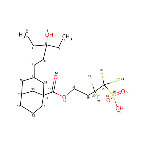 CCC(O)(CC)CCC1CC2CCCC(C(=O)OCCC(F)(F)C(F)(F)S(=O)(=O)O)(C2)C1